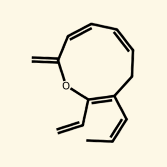 C=C/C1=C(\C=C/C)C/C=C\C=C/C(=C)O1